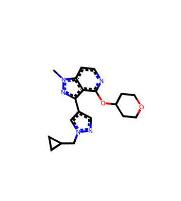 Cn1nc(-c2cnn(CC3CC3)c2)c2c(OC3CCOCC3)nccc21